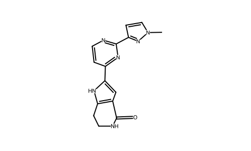 Cn1ccc(-c2nccc(-c3cc4c([nH]3)CCNC4=O)n2)n1